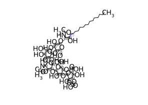 CCCCCCCCCCCCC/C=C/[C@@H](O)[C@H](CO[C@@H]1O[C@H](CO)[C@@H](O[C@@H]2O[C@H](CO)[C@H](O)[C@H](O[C@@H]3O[C@H](CO)[C@@H](O[C@@H]4O[C@H](CO)[C@H](O)[C@H](O[C@@H]5O[C@H](C(=O)O)[C@@H](O)[C@H](OS(=O)(=O)O)[C@H]5O)[C@H]4O)[C@H](O)[C@H]3NC(C)=O)[C@H]2O)[C@H](O)[C@H]1O)NC(C)=O